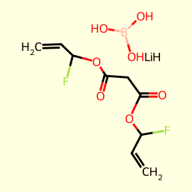 C=CC(F)OC(=O)CC(=O)OC(F)C=C.OB(O)O.[LiH]